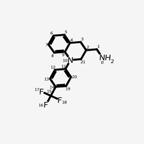 NCC1Cc2ccccc2N(c2ccc(C(F)(F)F)cc2)C1